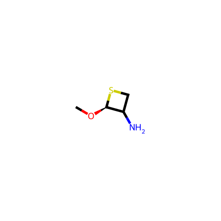 CO[C@H]1SCC1N